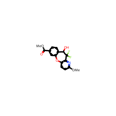 COC(=O)c1ccc2c(c1)Oc1ccc(OC)nc1C(F)(F)C2O